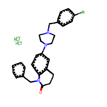 Cl.Cl.O=C1CCc2cc(N3CCN(Cc4ccc(Br)cc4)CC3)ccc2N1Cc1ccccc1